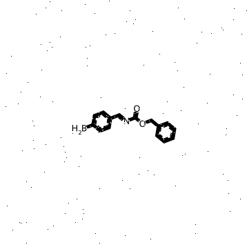 Bc1ccc(/C=N/C(=O)OCc2ccccc2)cc1